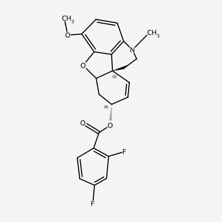 COc1ccc2c3c1OC1C[C@@H](OC(=O)c4ccc(F)cc4F)C=C[C@@]31CCN2C